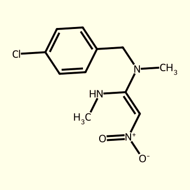 CNC(=C[N+](=O)[O-])N(C)Cc1ccc(Cl)cc1